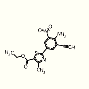 C#Cc1cc(-c2nc(C)c(C(=O)OCC)s2)cc([N+](=O)[O-])c1N